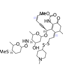 C#C/C=C\C#C[C@H](OC1CC(O)[C@H](NOC2CC[C@H](SC)C(C)O2)C(C)O1)C1=C(NC(=O)OC)C(=O)CC(C)/C1=C/CSSC1CCN(C)CC1